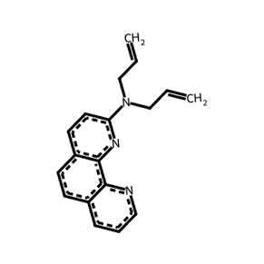 C=CCN(CC=C)c1ccc2ccc3cccnc3c2n1